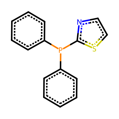 c1ccc(P(c2ccccc2)c2nccs2)cc1